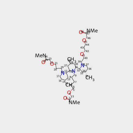 CNC(=O)COCCCCCN1C(C2C[C@H](C)CCN2CCCOCC(=O)NC)C[C@@H](C)CC1C1C[C@@H](C)CCN1CCOCCCOCC(=O)NC